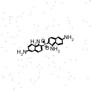 Nc1ccc2c(N)c(S(=O)(=O)c3ccc4cc(N)ccc4c3N)ccc2c1